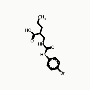 CCCC(CNC(=O)Nc1ccc(Br)cc1)C(=O)O